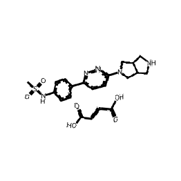 CS(=O)(=O)Nc1ccc(-c2ccc(N3CC4CNCC4C3)nn2)cc1.O=C(O)C=CC(=O)O